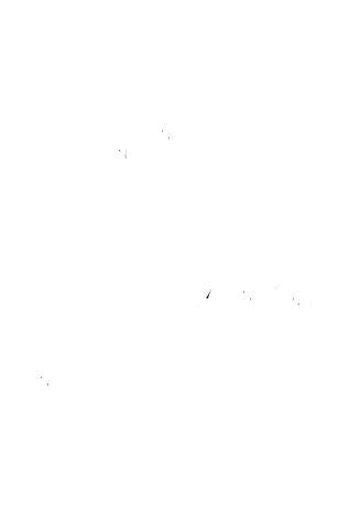 C[C@]1(c2cc(-c3cccc(C#N)c3)cs2)NC(=N)CC(=O)[C@H]1c1ccc2nonc2c1